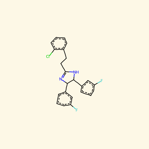 Fc1cccc(C2N=C(CCc3ccccc3Cl)NC2c2cccc(F)c2)c1